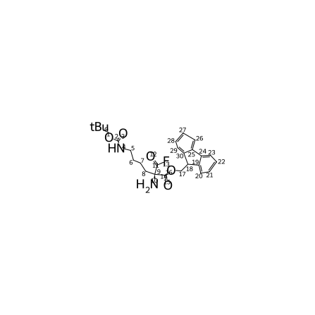 CC(C)(C)OC(=O)NCCCC[C@](N)(C(=O)F)C(=O)OCC1c2ccccc2-c2ccccc21